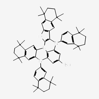 CC(C)(C)c1cc2c3c(c1)N(c1ccc4c(c1)C(C)(C)CCC4(C)C)c1c(oc4cc5c(cc14)C(C)(C)CCC5(C)C)B3c1cc3c(cc1N2c1ccc2c(c1)C(C)(C)CCC2(C)C)C(C)(C)CCC3(C)C